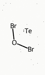 BrOBr.[Te]